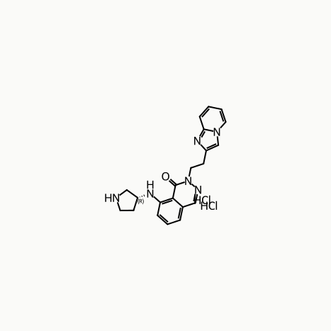 Cl.Cl.O=c1c2c(N[C@@H]3CCNC3)cccc2cnn1CCc1cn2ccccc2n1